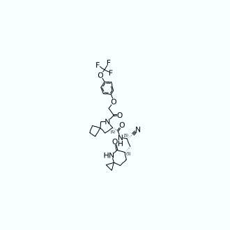 N#C[C@H](C[C@@H]1CCC2(CC2)NC1=O)NC(=O)[C@@H]1CC2(CCC2)CN1C(=O)COc1ccc(OC(F)(F)F)cc1